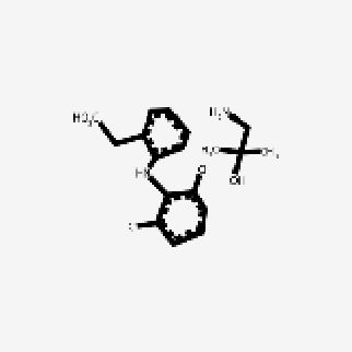 CC(C)(O)CN.O=C(O)Cc1ccccc1Nc1c(Cl)cccc1Cl